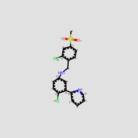 CS(=O)(=O)c1ccc(CNc2ccc(Cl)c(-c3ccccn3)c2)c(Cl)c1